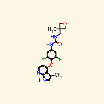 CC1(CNC(=O)Nc2cc(F)c(Oc3ccnc4[nH]cc(C(F)(F)F)c34)c(F)c2)COC1